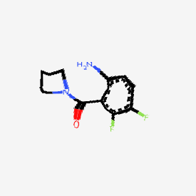 Nc1ccc(F)c(F)c1C(=O)N1CCC1